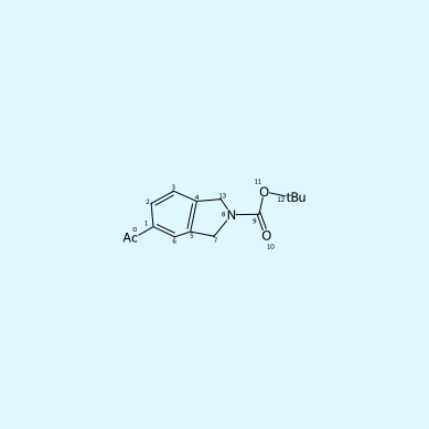 CC(=O)c1ccc2c(c1)CN(C(=O)OC(C)(C)C)C2